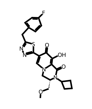 COC[C@@H]1Cn2cc(-c3nnc(Cc4ccc(F)cc4)s3)c(=O)c(O)c2C(=O)N1C1CCC1